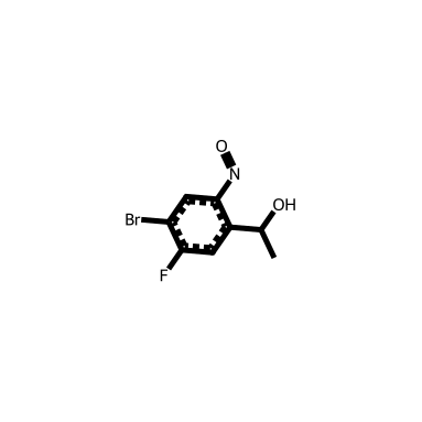 CC(O)c1cc(F)c(Br)cc1N=O